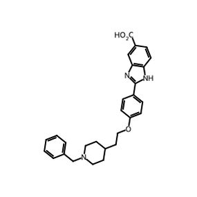 O=C(O)c1ccc2[nH]c(-c3ccc(OCCC4CCN(Cc5ccccc5)CC4)cc3)nc2c1